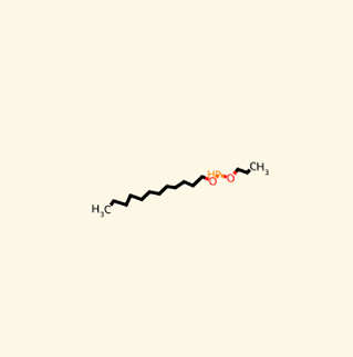 CCCCCCCCCCCCOPOCCC